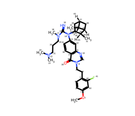 COc1ccc(CCn2cnc3cc(N(C(=N)N(C)CCCN(C)C)C4C[C@@H]5C[C@H]([C@@H]4C)C5(C)C)ccc3c2=O)c(F)c1